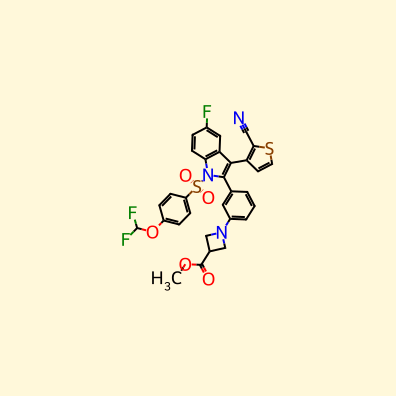 COC(=O)C1CN(c2cccc(-c3c(-c4ccsc4C#N)c4cc(F)ccc4n3S(=O)(=O)c3ccc(OC(F)F)cc3)c2)C1